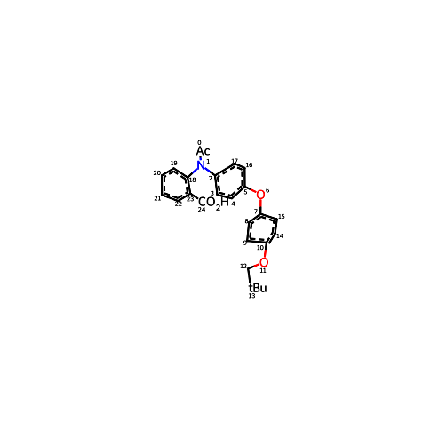 CC(=O)N(c1ccc(Oc2ccc(OCC(C)(C)C)cc2)cc1)c1ccccc1C(=O)O